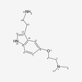 CN(C)CCOc1ccc2[nH]cc(CCN)c2c1